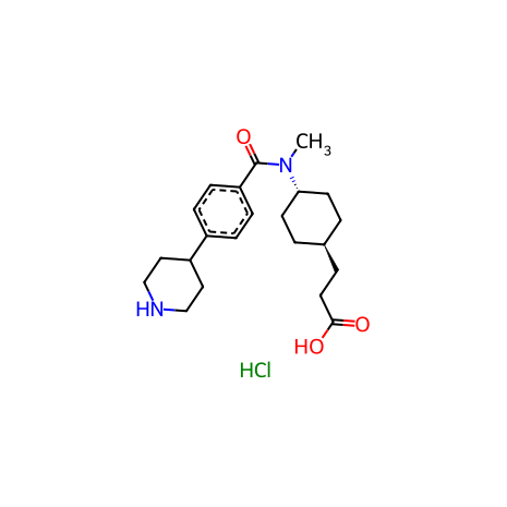 CN(C(=O)c1ccc(C2CCNCC2)cc1)[C@H]1CC[C@H](CCC(=O)O)CC1.Cl